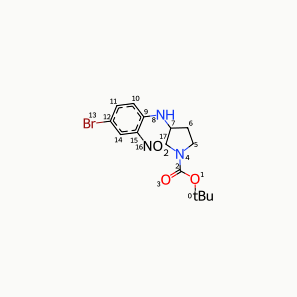 CC(C)(C)OC(=O)N1CCC(Nc2ccc(Br)cc2[N+](=O)[O-])C1